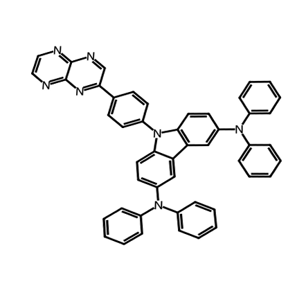 c1ccc(N(c2ccccc2)c2ccc3c(c2)c2cc(N(c4ccccc4)c4ccccc4)ccc2n3-c2ccc(-c3cnc4nccnc4n3)cc2)cc1